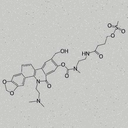 CN(C)CCn1c(=O)c2cc(OC(=O)N(C)CCNC(=O)CCCOS(C)(=O)=O)c(CO)cc2c2ccc3cc4c(cc3c21)OCO4